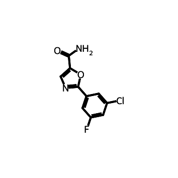 NC(=O)c1cnc(-c2cc(F)cc(Cl)c2)o1